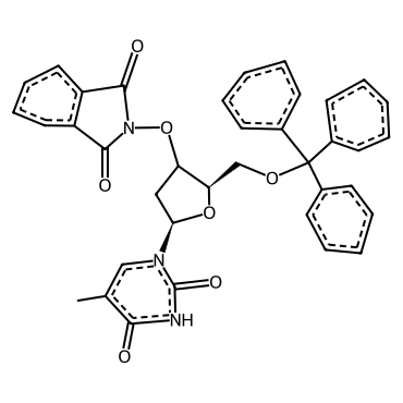 Cc1cn([C@H]2CC(ON3C(=O)c4ccccc4C3=O)[C@@H](COC(c3ccccc3)(c3ccccc3)c3ccccc3)O2)c(=O)[nH]c1=O